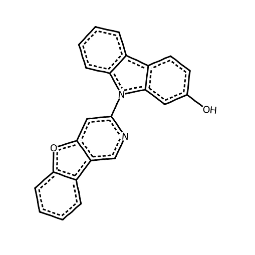 Oc1ccc2c3ccccc3n(-c3cc4oc5ccccc5c4cn3)c2c1